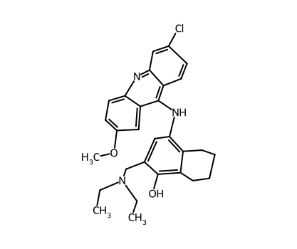 CCN(CC)Cc1cc(Nc2c3ccc(Cl)cc3nc3ccc(OC)cc23)c2c(c1O)CCCC2